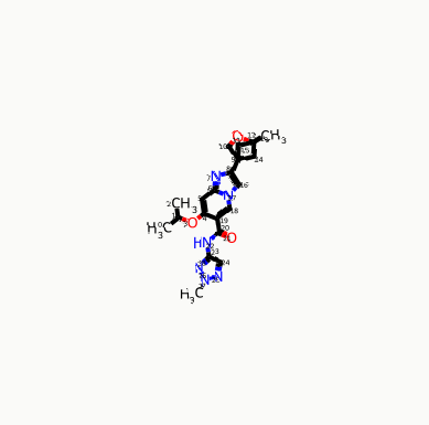 CC(C)Oc1cc2nc(C34COC(C)(C3)C4)cn2cc1C(=O)Nc1cnn(C)n1